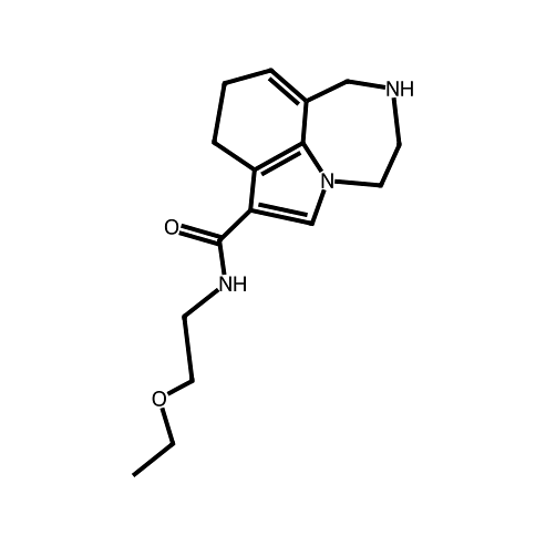 CCOCCNC(=O)c1cn2c3c1CCC=C3CNCC2